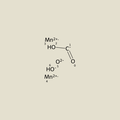 O=[C-]O.[Mn+2].[Mn+2].[O-2].[OH-]